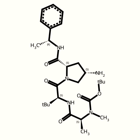 C[C@@H](NC(=O)[C@@H]1C[C@H](N)CN1C(=O)[C@@H](NC(=O)[C@H](C)N(C)C(=O)OC(C)(C)C)C(C)(C)C)c1ccccc1